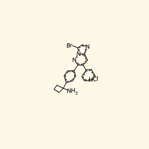 Cl.NC1(c2ccc(-c3nn4c(Br)cnc4cc3-c3ccccc3)cc2)CCC1